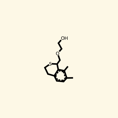 Cc1ccc2c(c1C)C(COCCO)SCC2